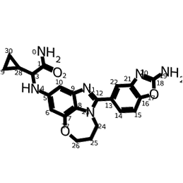 NC(=O)C(Nc1cc2c3c(c1)nc(-c1ccc4oc(N)nc4c1)n3CCCO2)C1CC1